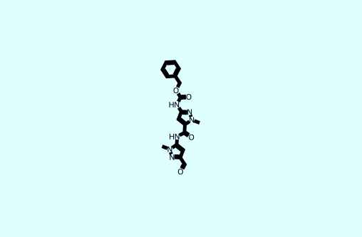 Cn1nc(C=O)cc1NC(=O)c1cc(NC(=O)OCc2ccccc2)nn1C